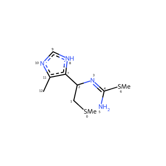 CSCC(N=C(N)SC)c1[nH]cnc1C